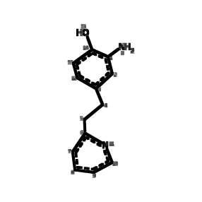 Nc1cc(CCc2ccccn2)ccc1O